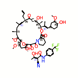 C/C(O)=C(\C#N)C(=O)Nc1ccc(C(F)(F)F)cc1.C=CC[C@@H]1/C=C(\C)C[C@H](C)C[C@H](OC)[C@H]2O[C@@](O)(C(=O)C(=O)N3CCCC[C@H]3C(=O)O[C@H](/C(C)=C/[C@@H]3CC[C@@H](O)[C@H](OC)C3)[C@H](C)[C@@H](O)CC1=O)[C@H](C)C[C@@H]2OC